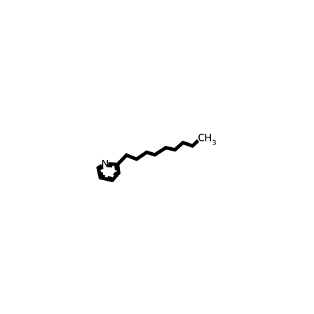 CCCCCCCCCc1ccccn1